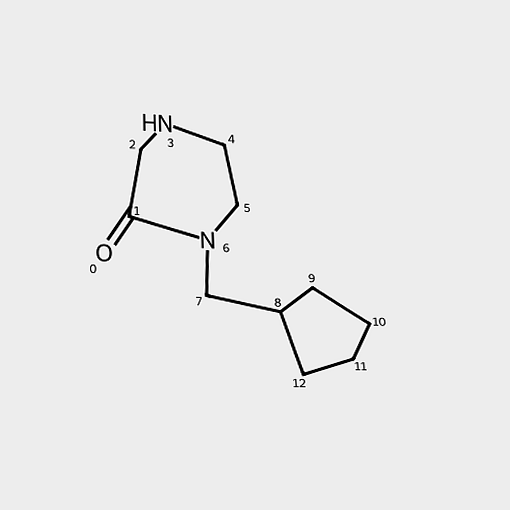 O=C1CNCCN1CC1CCCC1